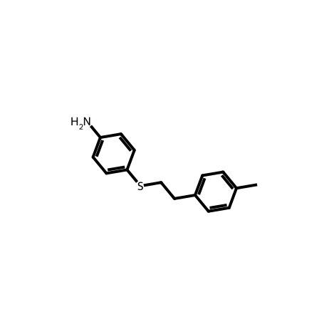 Cc1ccc(CCSc2ccc(N)cc2)cc1